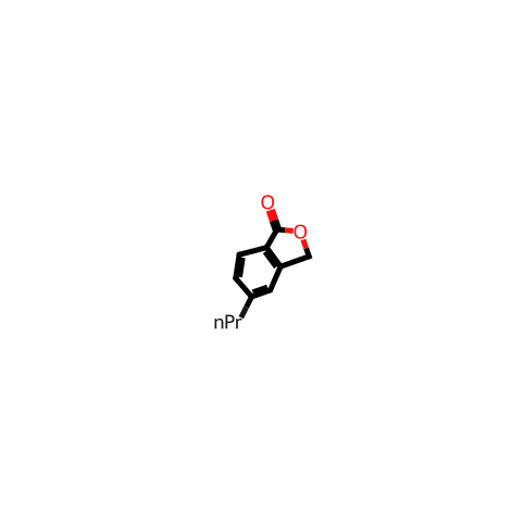 CCCc1ccc2c(c1)COC2=O